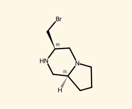 BrC[C@H]1CN2CCC[C@H]2CN1